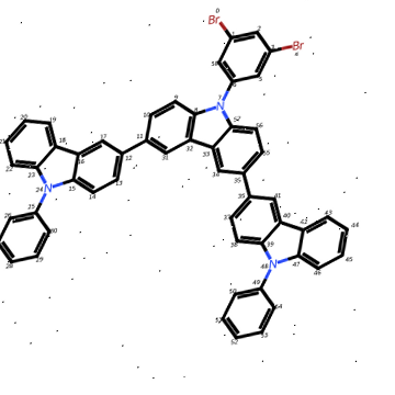 Brc1cc(Br)cc(-n2c3ccc(-c4ccc5c(c4)c4ccccc4n5-c4ccccc4)cc3c3cc(-c4ccc5c(c4)c4ccccc4n5-c4ccccc4)ccc32)c1